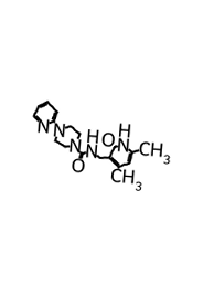 Cc1cc(C)c(CNC(=O)N2CCN(c3ccccn3)CC2)c(=O)[nH]1